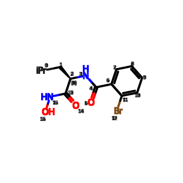 CC(C)C[C@@H](NC(=O)c1ccccc1Br)C(=O)NO